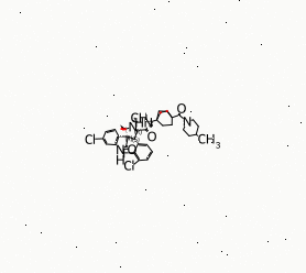 CC1CCN(C(=O)C23CCC(NC(=O)[C@H]4[C@H](c5cccc(Cl)c5F)[C@]5(C(=O)Nc6cc(Cl)ccc65)C5(CCCCC5)N4C)(CC2)CC3)CC1